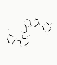 Cc1cc(F)cc(-c2nccc3[nH]c(-c4n[nH]c5ncc(-c6cncc(O)c6)cc45)nc23)c1